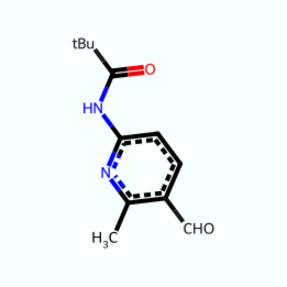 Cc1nc(NC(=O)C(C)(C)C)ccc1C=O